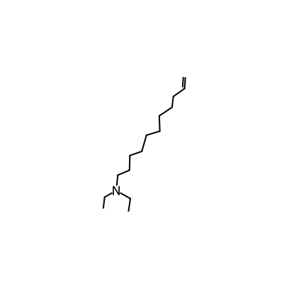 C=CCCCCCCCCCN(CC)CC